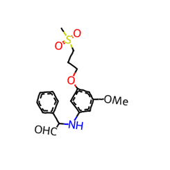 COc1cc(NC(C=O)c2ccccc2)cc(OCCCS(C)(=O)=O)c1